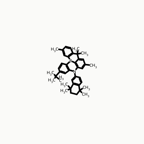 Cc1ccc2c(c1)B1c3ccc(C(C)(C)C)cc3N(c3ccc4c(c3)C(C)(C)CCC4(C)C)c3cc(C)cc(c31)C2(C)C